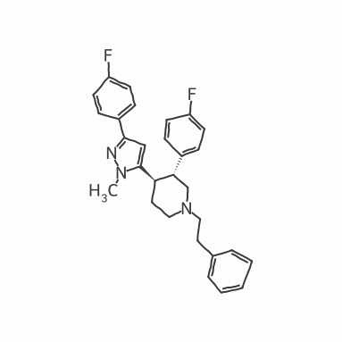 Cn1nc(-c2ccc(F)cc2)cc1[C@@H]1CCN(CCc2ccccc2)C[C@H]1c1ccc(F)cc1